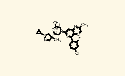 Cc1cnc2c(-c3ccc(Cl)cc3F)nc(N3C[C@H](C)O[C@@H](C4(C)C=NN(C5CC5)C4)C3)cc2n1